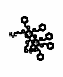 C=CCOC[C@H]1O[C@H](OCC=C)[C@H](OCc2ccccc2)[C@@H](OCc2ccccc2)[C@@H]1O[C@@H]1O[C@H](CO)[C@@H](OCc2ccccc2)[C@H](OCc2ccccc2)[C@H]1OCc1ccccc1